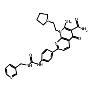 NC(=O)c1c(N)n(CCN2CCCC2)c2nc(-c3ccc(NC(=O)NCc4cccnc4)cc3)ccc2c1=O